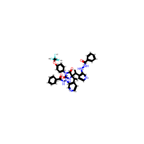 CC(c1ccncc1NNC(=O)c1ccccc1)C1(C(C)c2ccncc2NNC(=O)c2ccccc2)NC(=O)N(c2ccc(OC(F)(F)F)cc2)C1=O